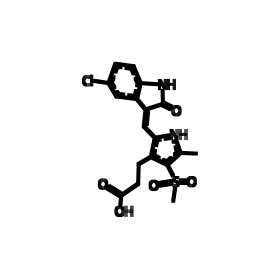 Cc1[nH]c(/C=C2\C(=O)Nc3ccc(Cl)cc32)c(CCC(=O)O)c1S(C)(=O)=O